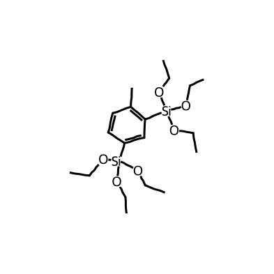 CCO[Si](OCC)(OCC)c1ccc(C)c([Si](OCC)(OCC)OCC)c1